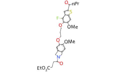 CCCC(=O)c1cc2c(F)c(OCCCOc3cc4c(cc3OC)CN(C(=O)CCC(=O)OCC)C4)c(OC)cc2s1